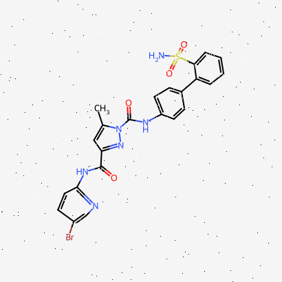 Cc1cc(C(=O)Nc2ccc(Br)cn2)nn1C(=O)Nc1ccc(-c2ccccc2S(N)(=O)=O)cc1